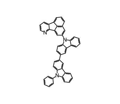 c1ccc(-n2c3ccccc3c3cc(-c4ccc5c(c4)c4ccccc4n5-c4cc5c6c(cccc6c4)-c4cccnc4-5)ccc32)cc1